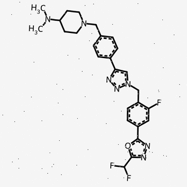 CN(C)C1CCN(Cc2ccc(-c3cn(Cc4ccc(-c5nnc(C(F)F)o5)cc4F)nn3)cc2)CC1